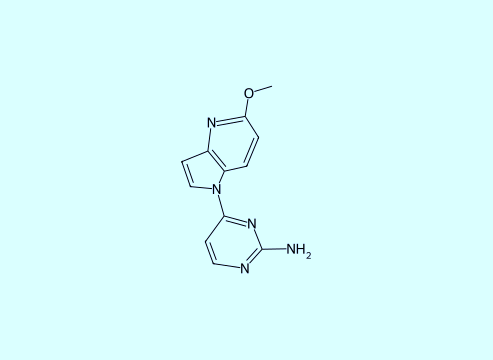 COc1ccc2c(ccn2-c2ccnc(N)n2)n1